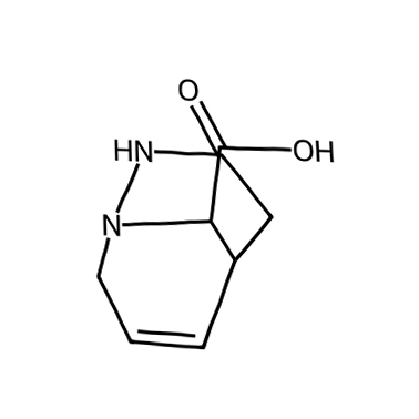 O=C(O)C1C2C=CCN1NCC2